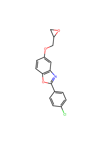 Clc1ccc(-c2nc3cc(OCC4CO4)ccc3o2)cc1